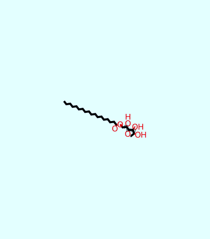 CCCCCCCCCCCCCCCCCC(=O)OC[C@@H](O)[C@H]1OCC(O)[C@@H]1O